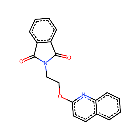 O=C1c2ccccc2C(=O)N1CCOc1ccc2ccccc2n1